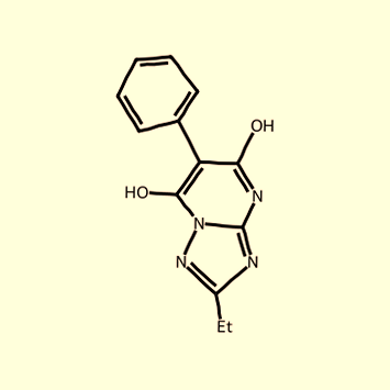 CCc1nc2nc(O)c(-c3ccccc3)c(O)n2n1